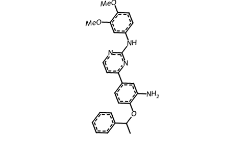 COc1ccc(Nc2nccc(-c3ccc(OC(C)c4ccccc4)c(N)c3)n2)cc1OC